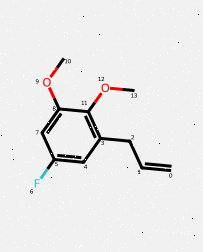 C=CCc1cc(F)cc(OC)c1OC